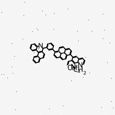 C=Nc1c(/C=C\C)c(C2=CC=C3C=CC4=C(c5cccc(-c6nc7ccccc7c7c6ccc6ccccc67)c5)C=CC5=CC=C2C3C54)cc2cccnc12